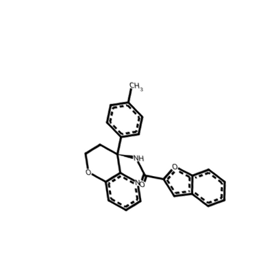 Cc1ccc([C@@]2(NC(=O)c3cc4ccccc4o3)CCOc3cccnc32)cc1